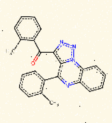 Cc1ccccc1C(=O)c1nnn2c1c(-c1ccccc1C)nc1ccccc12